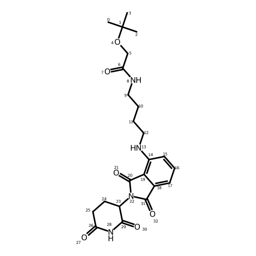 CC(C)(C)OCC(=O)NCCCCNc1cccc2c1C(=O)N(C1CCC(=O)NC1=O)C2=O